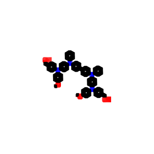 COc1ccc(N(c2ccc(CO)cc2)c2ccc(N(c3ccccc3)c3ccc(-c4ccc(N(c5ccccc5)c5ccc(N(c6ccc(CO)cc6)c6ccc(OC)cc6)cc5)cc4)cc3)cc2)cc1